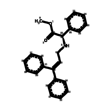 COC(=O)[C@H](NCC=C(c1ccccc1)c1ccccc1)c1ccccc1